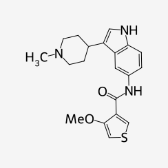 COc1cscc1C(=O)Nc1ccc2[nH]cc(C3CCN(C)CC3)c2c1